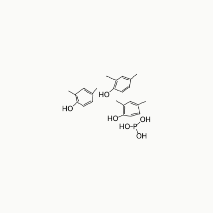 Cc1ccc(O)c(C)c1.Cc1ccc(O)c(C)c1.Cc1ccc(O)c(C)c1.OP(O)O